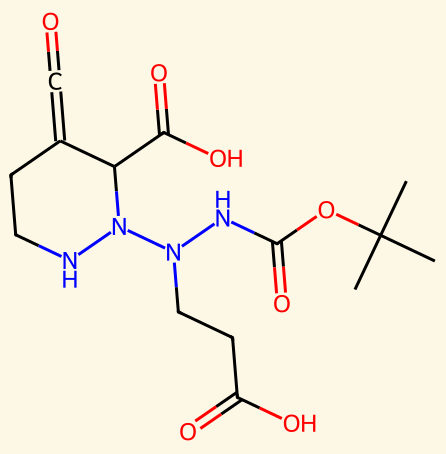 CC(C)(C)OC(=O)NN(CCC(=O)O)N1NCCC(=C=O)C1C(=O)O